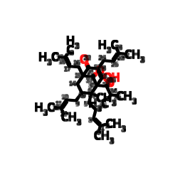 CC(C)=CCC[C@]1(C)[C@@H](CC=C(C)C)CC2(CC=C(C)C)C(=O)C(CC=C(C)C)=C(O)C1(C(=O)C(C)C)C2=O